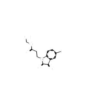 CCOC(=O)CCN1C(=O)C(=O)c2cc(I)ccc21